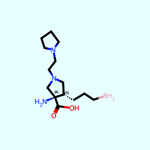 BCCC[C@H]1CN(CCN2CCCC2)C[C@@]1(N)C(=O)O